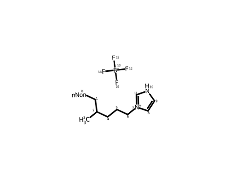 CCCCCCCCCCC(C)CCC[n+]1cc[nH]c1.F[B-](F)(F)F